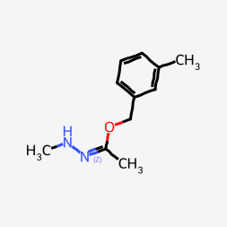 CN/N=C(/C)OCc1cccc(C)c1